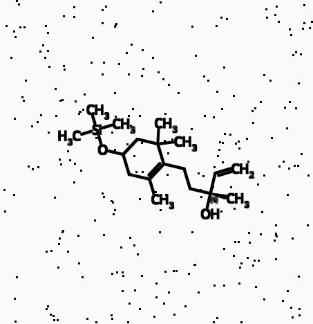 C=C[C@](C)(O)CCC1=C(C)CC(O[Si](C)(C)C)CC1(C)C